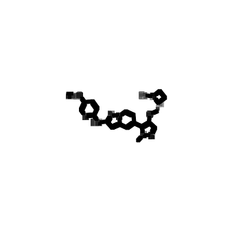 CCN1CC[C@@H]1COc1cnn(C)c1-c1ccn2nc(Nc3ccc(OC)cn3)cc2c1